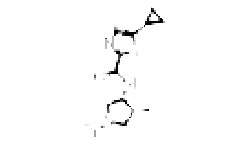 CC(C)N1C[C@H](C)[C@H](NC(=O)c2nnc(C3CC3)s2)C1